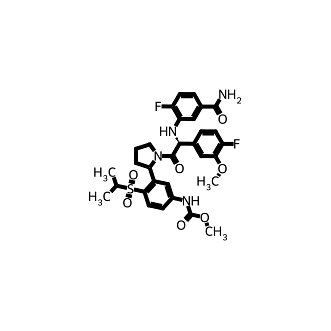 COC(=O)Nc1ccc(S(=O)(=O)C(C)C)c(C2CCCN2C(=O)[C@H](Nc2cc(C(N)=O)ccc2F)c2ccc(F)c(OC)c2)c1